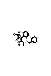 NC(=O)c1n[nH]c(NOCc2ccccc2)c1-c1ccccn1